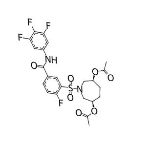 CC(=O)O[C@@H]1CC[C@H](OC(C)=O)CN(S(=O)(=O)c2cc(C(=O)Nc3cc(F)c(F)c(F)c3)ccc2F)C1